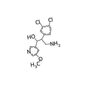 COc1cncc(C(O)C(CN)c2ccc(Cl)c(Cl)c2)c1